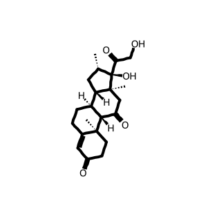 C[C@H]1C[C@H]2[C@@H]3CCC4=CC(=O)CC[C@]4(C)[C@H]3C(=O)C[C@]2(C)[C@@]1(O)C(=O)CO